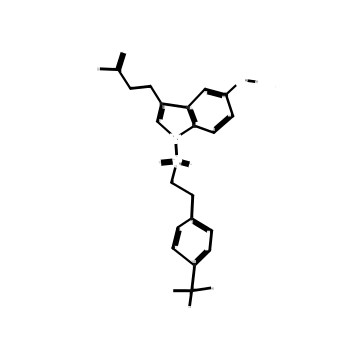 COc1ccc2c(c1)c(CCC(=O)O)cn2S(=O)(=O)CCc1ccc(C(F)(F)F)cc1